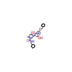 CN1CC(=O)N([C@@H](CC(=O)O)C(=O)NCCOCc2ccccc2)CN1C(=O)NCc1ccccc1